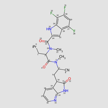 CC(C)CC(C(=O)N(C)C(C#N)CC1C(=O)Nc2ncccc21)N(C)C(=O)c1cc2c(F)cc(F)c(F)c2[nH]1